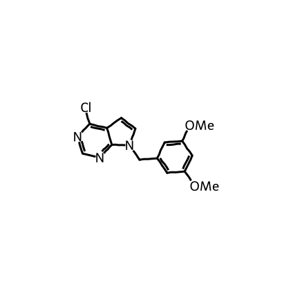 COc1cc(Cn2ccc3c(Cl)ncnc32)cc(OC)c1